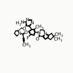 CC#CC(=O)N1CCC[C@H]1COc1c(N)ncnc1-c1cc(F)cc(N2CCn3c(cc4c3CC(C)(C)C4)C2=O)c1C